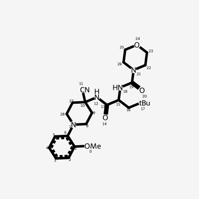 COc1ccccc1N1CCC(C#N)(NC(=O)C(CC(C)(C)C)NC(=O)N2CCOCC2)CC1